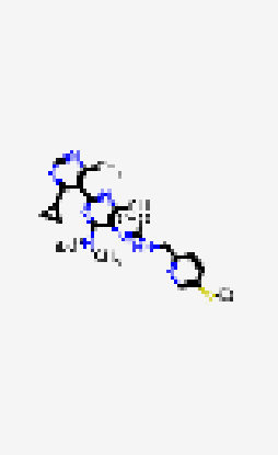 CCSc1ccc(CN/C(C=O)=N/c2c(C)nc(-c3c(C)ncnc3C3CC3)nc2N(C)[C@H](C)CC)nc1